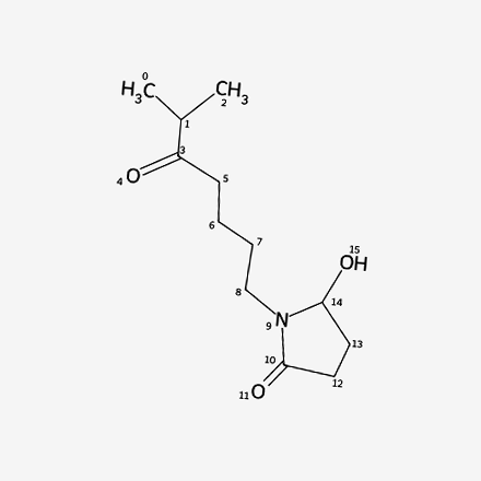 CC(C)C(=O)CCCCN1C(=O)CCC1O